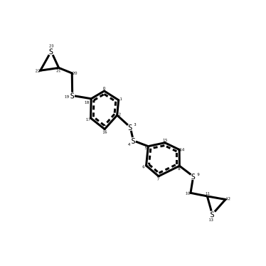 c1cc(SSc2ccc(SCC3CS3)cc2)ccc1SCC1CS1